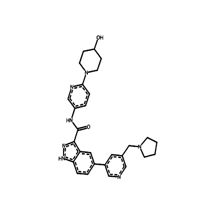 O=C(Nc1ccc(N2CCC(O)CC2)nc1)c1n[nH]c2ccc(-c3cncc(CN4CCCC4)c3)cc12